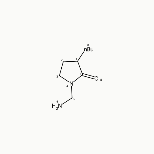 CCCCC1CCN(CN)C1=O